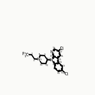 FC(F)(F)CCN1CCC(n2c3ccc(Cl)cc3c3cc(Cl)cnc32)CC1